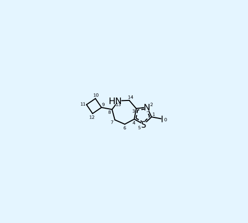 Ic1nc2c(s1)CCC(C1CCC1)NC2